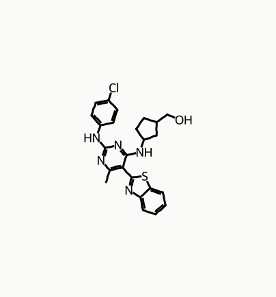 Cc1nc(Nc2ccc(Cl)cc2)nc(NC2CCC(CO)C2)c1-c1nc2ccccc2s1